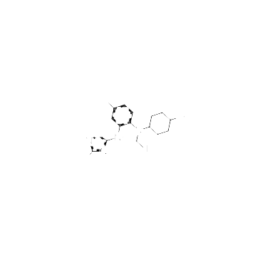 CC(C)CN(c1ccc(Br)cc1Nc1nc(C(F)(F)F)ns1)C1CCC(O)CC1